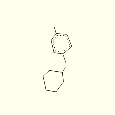 Fc1ccc(NC2CCCCC2)cc1